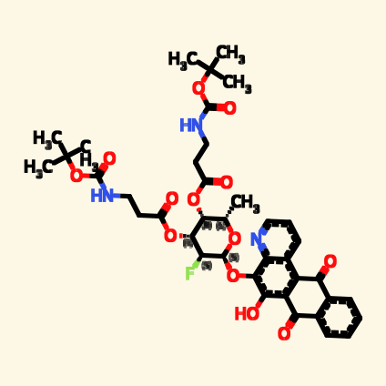 C[C@@H]1O[C@@H](Oc2c(O)c3c(c4cccnc24)C(=O)c2ccccc2C3=O)[C@@H](F)[C@H](OC(=O)CCNC(=O)OC(C)(C)C)[C@@H]1OC(=O)CCNC(=O)OC(C)(C)C